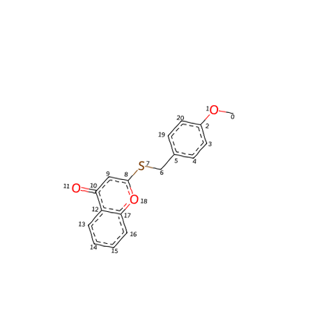 COc1ccc(CSc2cc(=O)c3ccccc3o2)cc1